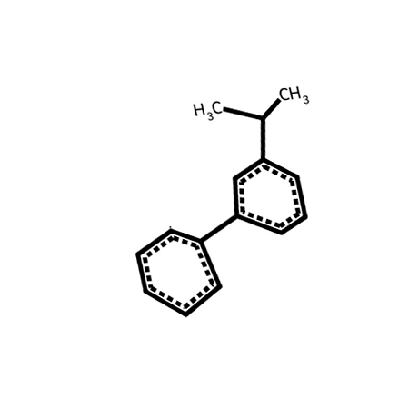 CC(C)c1cccc(-c2[c]cccc2)c1